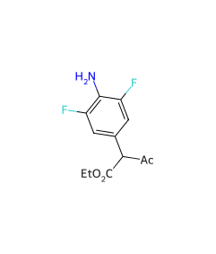 CCOC(=O)C(C(C)=O)c1cc(F)c(N)c(F)c1